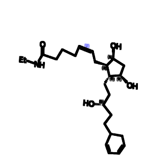 CCNC(=O)CCC/C=C\C[C@@H]1[C@@H](CC[C@@H](O)CCC2C=CC=CC2)[C@H](O)C[C@@H]1O